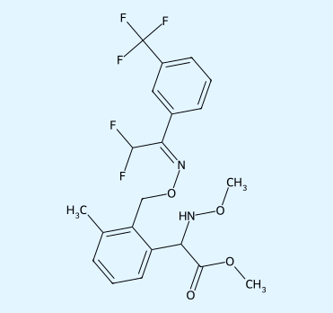 CONC(C(=O)OC)c1cccc(C)c1CO/N=C(/c1cccc(C(F)(F)F)c1)C(F)F